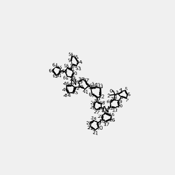 CC1(C)c2ccccc2-c2ccc(N(c3cccc(-c4ccccc4)c3)c3cccc(-c4cccc(-c5ccc6c(c5)c5ccccc5n6-c5cc(-c6ccccc6)cc(-c6ccccc6)c5)c4)c3)cc21